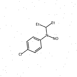 CCC(CC)N(N=O)c1ccc(Cl)cc1